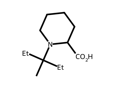 CCC(C)(CC)N1CCCCC1C(=O)O